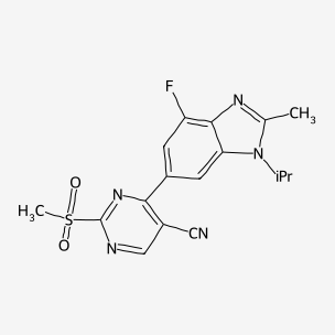 Cc1nc2c(F)cc(-c3nc(S(C)(=O)=O)ncc3C#N)cc2n1C(C)C